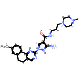 COc1ccc2c(c1)CCc1cnc(-n3cc(C(=O)NCCCN4CCN(C)CC4)c(N)n3)nc1-2